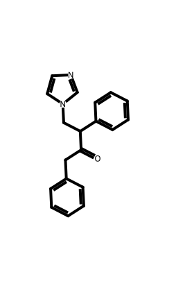 O=C(Cc1ccccc1)C(Cn1ccnc1)c1ccccc1